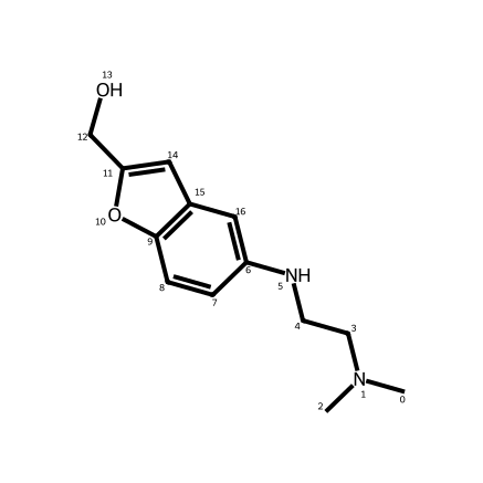 CN(C)CCNc1ccc2oc(CO)cc2c1